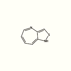 C1=CC=C2NSC=C2N=C1